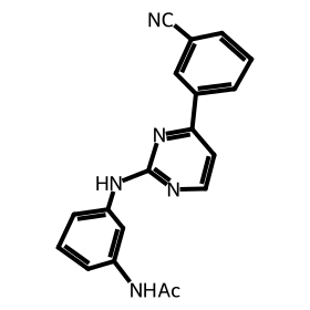 CC(=O)Nc1cccc(Nc2nccc(-c3cccc(C#N)c3)n2)c1